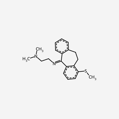 CSc1cccc2c1CCc1ccccc1C2=NCCN(C)C